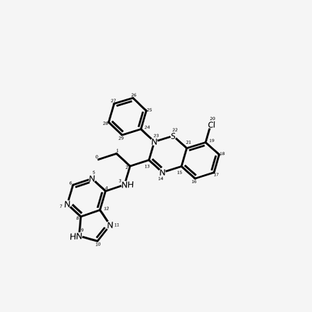 CCC(Nc1ncnc2[nH]cnc12)C1=Nc2cccc(Cl)c2SN1c1ccccc1